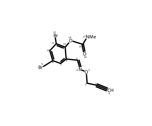 C#CCON=Cc1cc(Br)cc(Br)c1OC(=O)NC